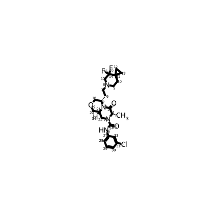 C[C@H]1C(=O)N2[C@@H](CCN3CCC4(CC4)C(F)(F)C3)COC[C@H]2CN1C(=O)Nc1cccc(Cl)c1